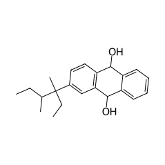 CCC(C)C(C)(CC)c1ccc2c(c1)C(O)c1ccccc1C2O